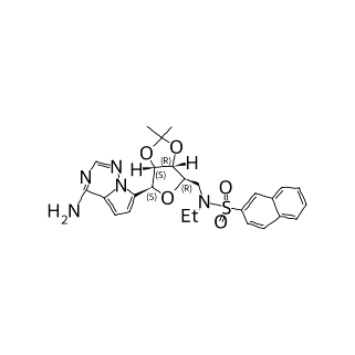 CCN(C[C@H]1O[C@@H](c2ccc3c(N)ncnn23)[C@@H]2OC(C)(C)O[C@@H]21)S(=O)(=O)c1ccc2ccccc2c1